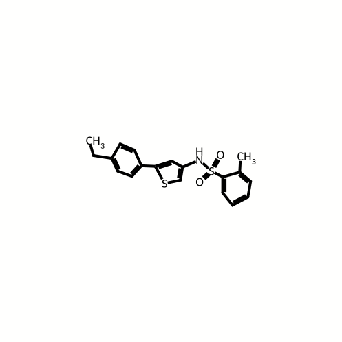 CCc1ccc(-c2cc(NS(=O)(=O)c3ccccc3C)cs2)cc1